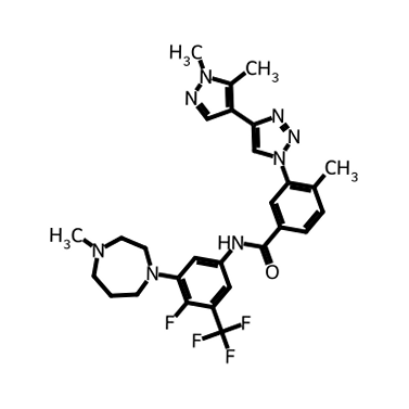 Cc1ccc(C(=O)Nc2cc(N3CCCN(C)CC3)c(F)c(C(F)(F)F)c2)cc1-n1cc(-c2cnn(C)c2C)nn1